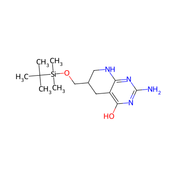 CC(C)(C)[Si](C)(C)OCC1CNc2nc(N)nc(O)c2C1